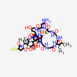 CCC(C)C1NC(=O)CNC(=O)C2Cc3c([nH]c4cc(OC(C)CC(C)CN5C(=O)CC(S)C5=O)ccc34)[S+]([O-])CC(NC(=O)CNC1=O)C(=O)NC(CC(N)=O)C(=O)N1CC(O)CC1C(=O)NC(C(C)C(O)CO)C(=O)N2